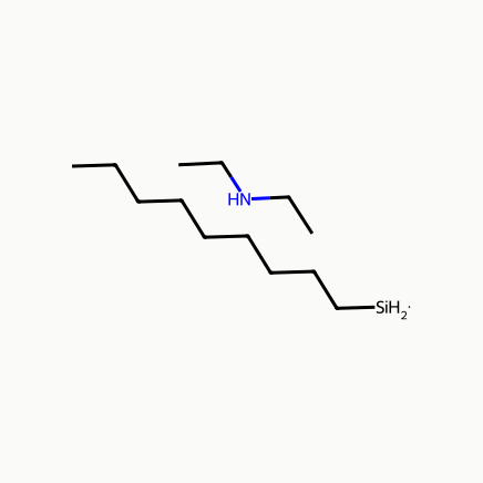 CCCCCCCCC[SiH2].CCNCC